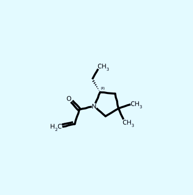 C=CC(=O)N1CC(C)(C)C[C@H]1CC